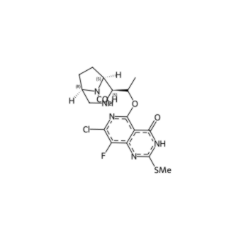 CSc1nc2c(F)c(Cl)nc(OC(C)[C@H]3NC[C@H]4CC[C@@H]3N4C(=O)O)c2c(=O)[nH]1